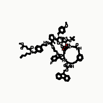 C=CCCCN(Cc1ccc(CCNC(=O)[C@]2(C)CCCN2C(=O)[C@H](Cc2ccc(OC)cc2)NC(=O)[C@@H](NC(=O)[C@@H]2[C@@H]3CCN2C(=O)[C@H](Cc2cn(CC=C)c4ccc(F)cc24)NC(=O)[C@@H](NC(=O)OCC2c4ccccc4-c4ccccc42)CCc2cccc(c2)CNC(=O)CO3)[C@@H](C)OC(C)(C)C)cc1)C(=O)CCC(=O)OC